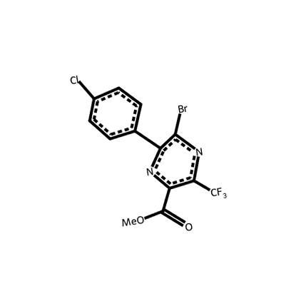 COC(=O)c1nc(-c2ccc(Cl)cc2)c(Br)nc1C(F)(F)F